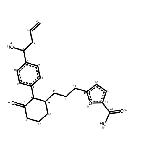 C=CCC(O)c1ccc(C2C(=O)CCCC2CCCc2ccc(C(=O)O)o2)cc1